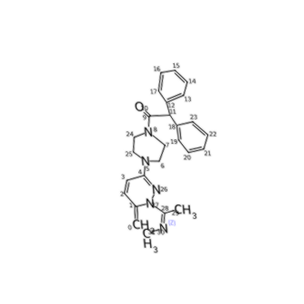 C=C1C=CC(N2CCN(C(=O)C(c3ccccc3)c3ccccc3)CC2)=NN1/C(C)=N\C